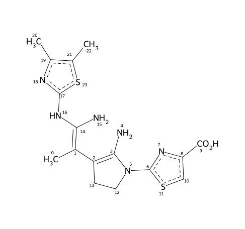 C/C(C1=C(N)N(c2nc(C(=O)O)cs2)CC1)=C(/N)Nc1nc(C)c(C)s1